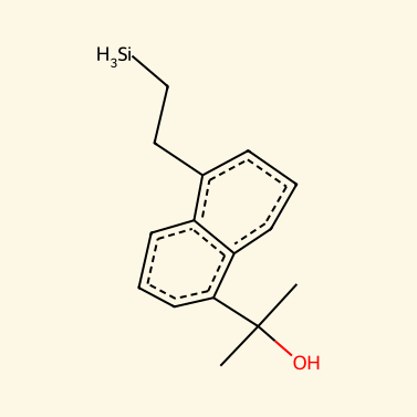 CC(C)(O)c1cccc2c(CC[SiH3])cccc12